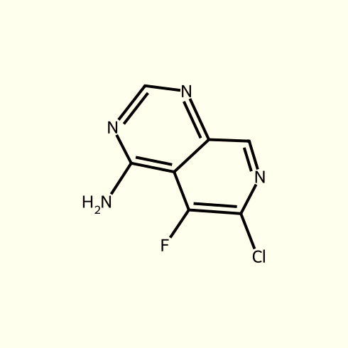 Nc1ncnc2cnc(Cl)c(F)c12